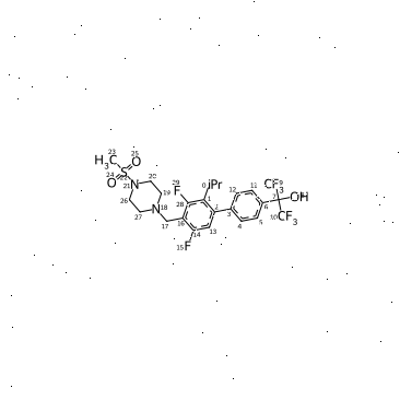 CC(C)c1c(-c2ccc(C(O)(C(F)(F)F)C(F)(F)F)cc2)cc(F)c(CN2CCN(S(C)(=O)=O)CC2)c1F